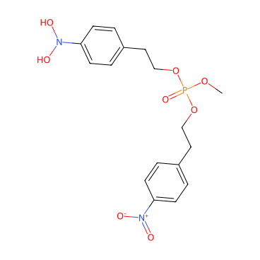 COP(=O)(OCCc1ccc(N(O)O)cc1)OCCc1ccc([N+](=O)[O-])cc1